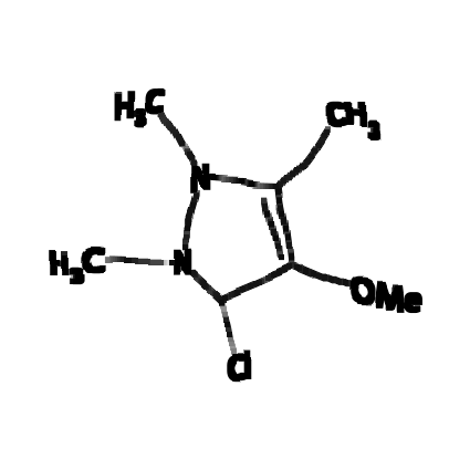 COC1=C(C)N(C)N(C)C1Cl